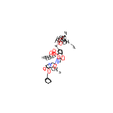 Cc1c(OCc2ccccc2)c(=O)ccn1CC(=O)N1CC(Oc2ccc(C3CC3B3O[C@@H]4C[C@@H]5C[C@@H](C5(C)C)[C@]4(C)O3)c(OC(=O)OC(C)(C)C)c2C(=O)OC(C)(C)C)C1